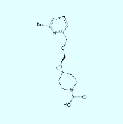 O=C(O)N1CCC2(CC1)C[C@H]2COCc1cccc(Br)n1